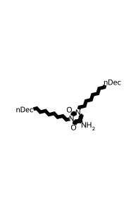 CCCCCCCCCCCCCCCCCCn1cc(N)c(=O)n(CCCCCCCCCCCCCCCCCC)c1=O